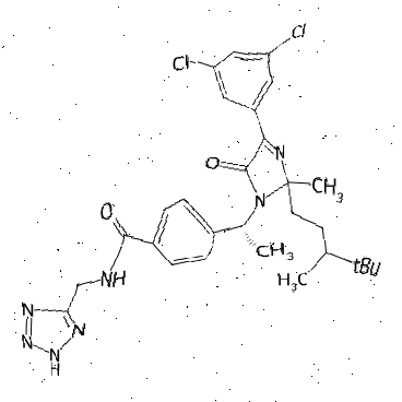 CC(CCC1(C)N=C(c2cc(Cl)cc(Cl)c2)C(=O)N1[C@H](C)c1ccc(C(=O)NCc2nn[nH]n2)cc1)C(C)(C)C